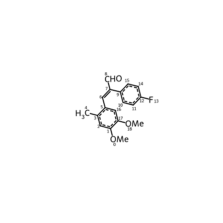 COc1cc(C)c(C=C(C=O)c2ccc(F)cc2)cc1OC